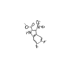 COC(=O)c1[nH]c2cc(F)c(F)cc2c1[N+](=O)[O-]